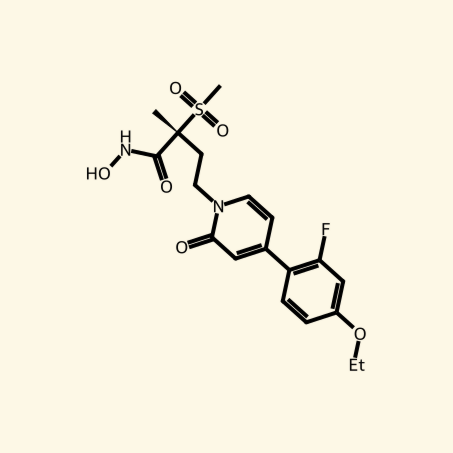 CCOc1ccc(-c2ccn(CC[C@](C)(C(=O)NO)S(C)(=O)=O)c(=O)c2)c(F)c1